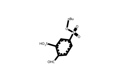 CCCCOS(=O)(=O)c1ccc(C=O)c(S(=O)(=O)O)c1